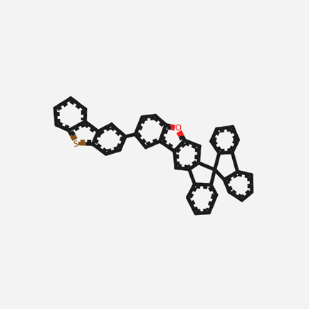 c1ccc2c(c1)-c1ccccc1C21c2ccccc2-c2cc3c(cc21)oc1ccc(-c2ccc4sc5ccccc5c4c2)cc13